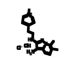 Cc1ccc2c(N)c(NCCc3cc[n+](C)cc3)nn2c1C.Cl.[Cl-]